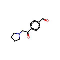 O=Cc1ccc(C(=O)CN2CCCC2)cc1